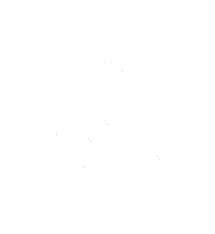 Cl.Cl.O=C(Nc1ccc(Br)cc1)N1CCNCC1COc1cncc(Cl)c1